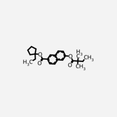 CCC1(OC(=O)c2ccc3cc(OC(=O)C(C)(C)CC)ccc3c2)CCCC1